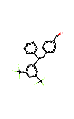 O=Cc1ccc(/C=C(\c2ccccc2)c2cc(C(F)(F)F)cc(C(F)(F)F)c2)cc1